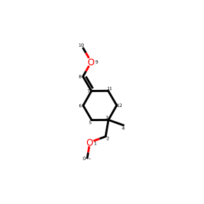 [CH2]OCC1(C)CCC(=COC)CC1